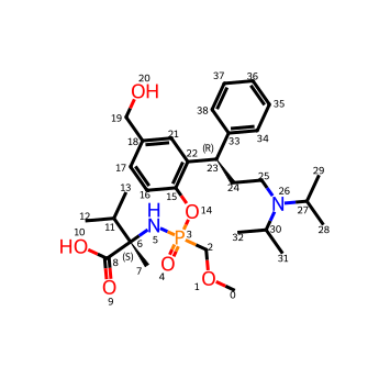 COCP(=O)(N[C@](C)(C(=O)O)C(C)C)Oc1ccc(CO)cc1[C@H](CCN(C(C)C)C(C)C)c1ccccc1